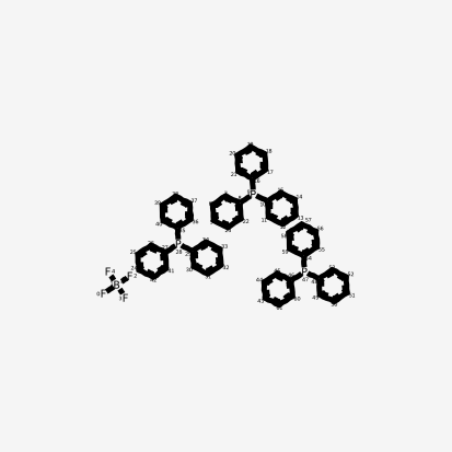 F[B-](F)(F)F.c1ccc(P(c2ccccc2)c2ccccc2)cc1.c1ccc(P(c2ccccc2)c2ccccc2)cc1.c1ccc(P(c2ccccc2)c2ccccc2)cc1